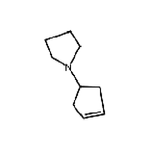 C1=CCC(N2CCCC2)C1